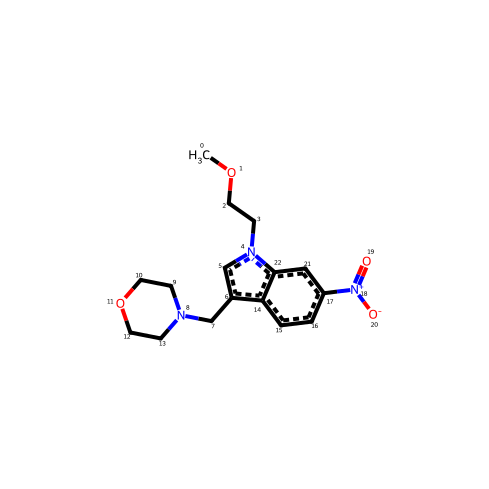 COCCn1cc(CN2CCOCC2)c2ccc([N+](=O)[O-])cc21